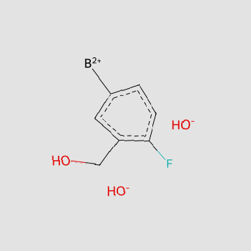 [B+2]c1ccc(F)c(CO)c1.[OH-].[OH-]